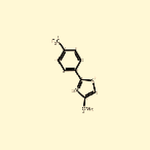 COc1csc(-c2ccc(C(F)(F)F)cc2)n1